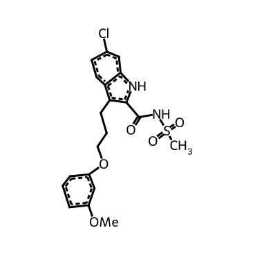 COc1cccc(OCCCc2c(C(=O)NS(C)(=O)=O)[nH]c3cc(Cl)ccc23)c1